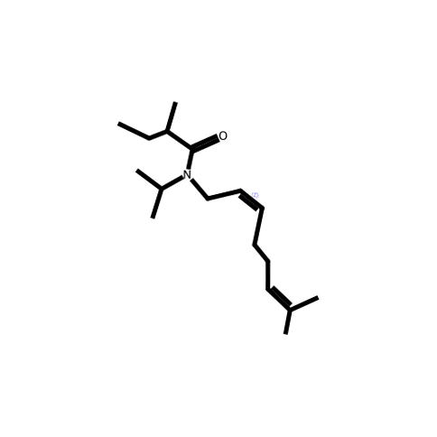 CCC(C)C(=O)N(C/C=C\CCC=C(C)C)C(C)C